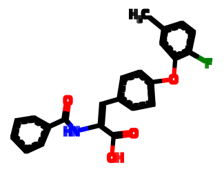 Cc1ccc(F)c(Oc2ccc(/C=C(/NC(=O)c3ccccc3)C(=O)O)cc2)c1